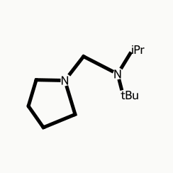 CC(C)N(CN1CCCC1)C(C)(C)C